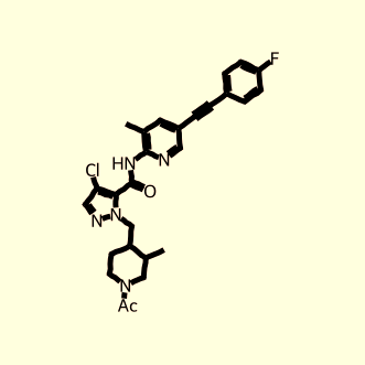 CC(=O)N1CCC(Cn2ncc(Cl)c2C(=O)Nc2ncc(C#Cc3ccc(F)cc3)cc2C)C(C)C1